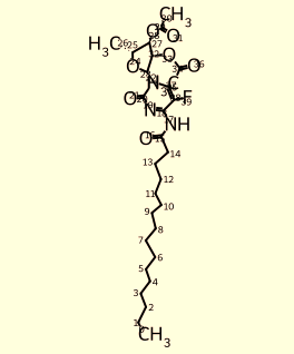 CCCCCCCCCCCCCCCC(=O)Nc1nc(=O)n([C@@H]2O[C@H](C)[C@@H](OC(C)=O)[C@H]2OC(C)=O)cc1F